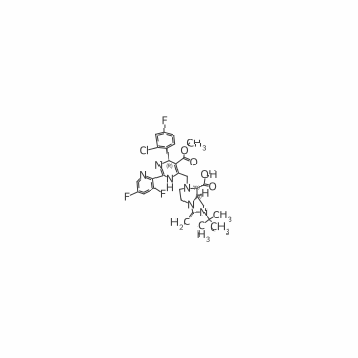 C=C1N2CCN(CC3=C(C(=O)OC)[C@H](c4ccc(F)cc4Cl)N=C(c4ncc(F)cc4F)N3)[C@@H](C(=O)O)[C@@H]2CN1C(C)(C)C